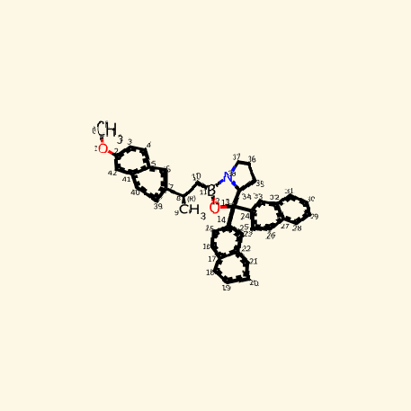 COc1ccc2cc([C@H](C)CB3OC(c4ccc5ccccc5c4)(c4ccc5ccccc5c4)C4CCCN34)ccc2c1